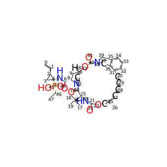 C=C[C@@H]1C[C@]1(NC(=O)[C@@H]1C[C@@H]2CN1C(=O)[C@H](C(C)(C)C)NC(=O)OC[C@@H](C)CCCCc1cccc3c1CN(C3)C(=O)O2)P(=O)(O)CC